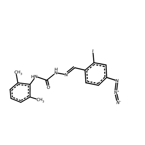 Cc1cccc(C)c1NC(=O)N/N=C/c1ccc(N=[N+]=[N-])cc1I